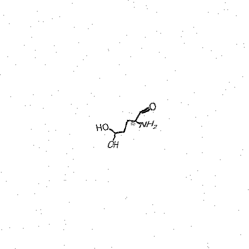 N[C@H](C=O)CCC(O)O